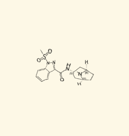 CN1[C@@H]2CC[C@H]1C[C@H](NC(=O)c1nn(S(C)(=O)=O)c3ccccc13)C2